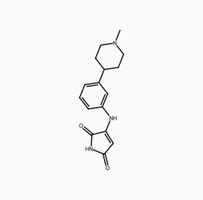 CN1CCC(c2cccc(NC3=CC(=O)NC3=O)c2)CC1